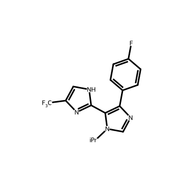 CC(C)n1cnc(-c2ccc(F)cc2)c1-c1nc(C(F)(F)F)c[nH]1